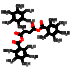 O=C(CCC(=O)OC(=O)c1c(C(=O)O)c(C(=O)O)c(C(=O)O)c(C(=O)O)c1C(=O)O)OC(=O)c1c(C(=O)O)c(C(=O)O)c(C(=O)O)c(C(=O)O)c1C(=O)O.O=C(O)c1c(C(=O)O)c(C(=O)O)c(C(=O)O)c(C(=O)O)c1C(=O)O